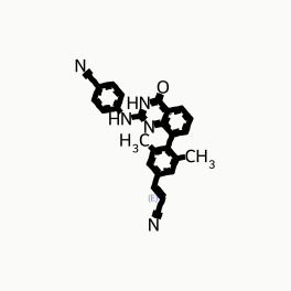 Cc1cc(/C=C/C#N)cc(C)c1-c1cccc2c(=O)[nH]c(Nc3ccc(C#N)cc3)nc12